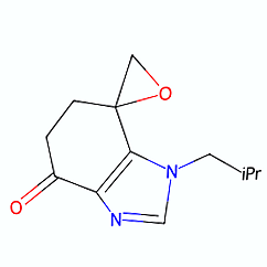 CC(C)Cn1cnc2c1C1(CCC2=O)CO1